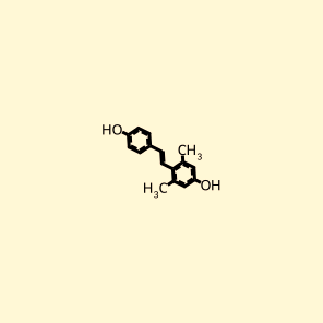 Cc1cc(O)cc(C)c1C=Cc1ccc(O)cc1